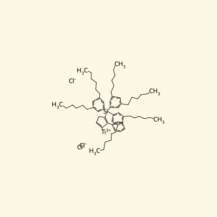 CCCCCCc1cc(CCCCCC)cc([Si](C2=C(c3ccccc3)[C]([Ti+3])=CC2)(c2cc(CCCCCC)cc(CCCCCC)c2)c2cc(CCCCCC)cc(CCCCCC)c2)c1.[Cl-].[Cl-].[Cl-]